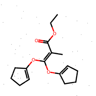 CCOC(=O)C(C)=C(OC1=CCCC1)OC1=CCCC1